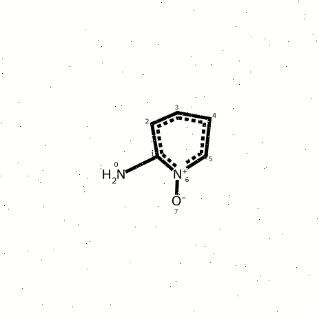 Nc1ccc[c][n+]1[O-]